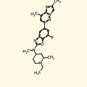 CCN1CCC(N(C)c2nc3cc(-c4cc(C)c5nc(C)cn5n4)cc(F)c3o2)CC1C